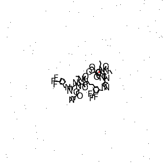 CCCn1c(=O)c2c(nc(-c3cnn(Cc4cc(CCCn5c(=O)c6c(nc(-c7cnn(Cc8cccc(C(F)(F)F)c8)c7)n6COC(=O)C6CN(C)C6)n(CC)c5=O)cc(C(F)(F)F)c4)c3)n2COC(=O)C2COCOC2)n(CC)c1=O